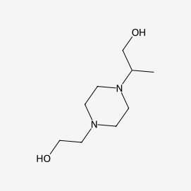 CC(CO)N1CCN(CCO)CC1